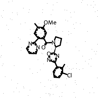 COc1cc(C(=O)N2CCC[C@H]2c2nc(-c3cccc(Cl)c3C)no2)c(-c2ncccn2)cc1C